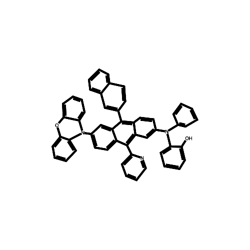 Oc1ccccc1N(c1ccccc1)c1ccc2c(-c3ccc4ccccc4c3)c3cc(N4c5ccccc5Oc5ccccc54)ccc3c(-c3ccccn3)c2c1